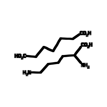 NCCCCC(N)C(=O)O.O=C(O)CCCCCC(=O)O